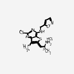 Cc1c(C[C@H](C)N)sc2c(NCc3ccno3)nc(Cl)nc12.Cl